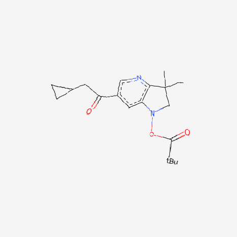 CC(C)(C)C(=O)ON1CC(C)(C)c2ncc(C(=O)CC3CC3)cc21